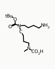 CN(CCCCN(CCCCN)C(=O)OC(C)(C)C)C(=O)O